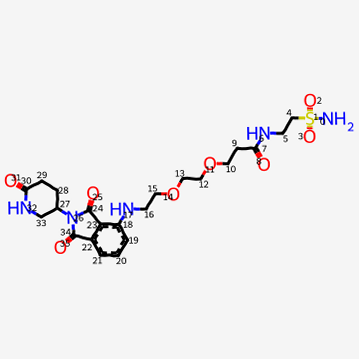 NS(=O)(=O)CCNC(=O)CCOCCOCCNc1cccc2c1C(=O)N(C1CCC(=O)NC1)C2=O